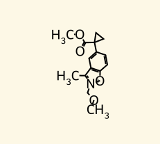 COC[n+]1oc2ccc(C3(C(=O)OC)CC3)cc2c1C